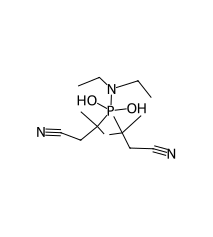 CCN(CC)P(O)(O)(C(C)(C)CC#N)C(C)(C)CC#N